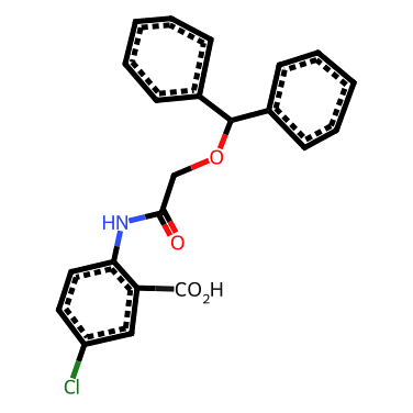 O=C(COC(c1ccccc1)c1ccccc1)Nc1ccc(Cl)cc1C(=O)O